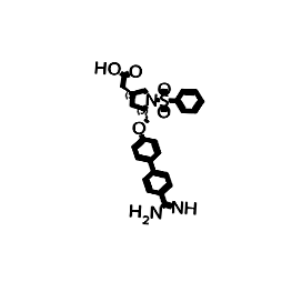 N=C(N)c1ccc(-c2ccc(OC[C@@H]3C[C@@H](CC(=O)O)CN3S(=O)(=O)c3ccccc3)cc2)cc1